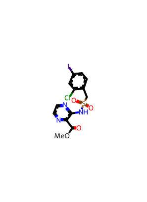 COC(=O)c1nccnc1NS(=O)(=O)Cc1ccc(I)cc1Cl